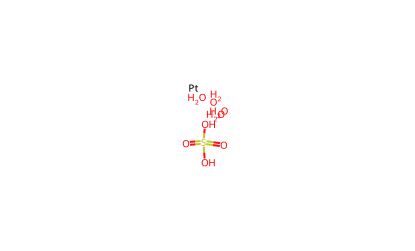 O.O.O.O.O=S(=O)(O)O.[Pt]